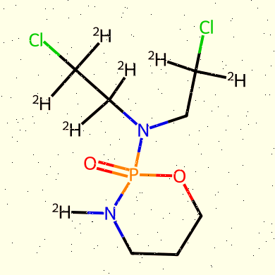 [2H]N1CCCOP1(=O)N(CC([2H])([2H])Cl)C([2H])([2H])C([2H])([2H])Cl